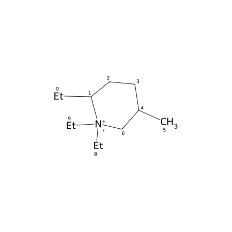 CCC1CCC(C)C[N+]1(CC)CC